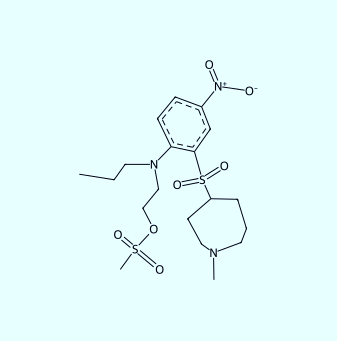 CCCN(CCOS(C)(=O)=O)c1ccc([N+](=O)[O-])cc1S(=O)(=O)C1CCCN(C)CC1